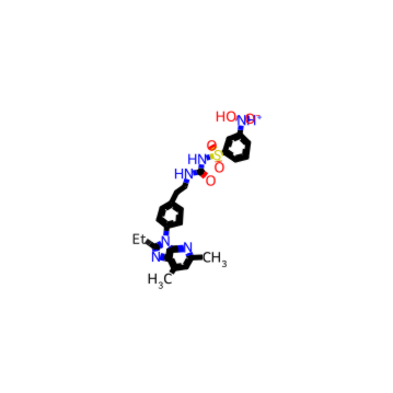 CCc1nc2c(C)cc(C)nc2n1-c1ccc(CCNC(=O)NS(=O)(=O)c2cccc([NH+]([O-])O)c2)cc1